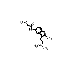 COCC(=O)Nc1ccc2oc(C)c(CCN(C)C)c2c1